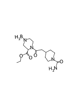 BN1CCN(C(=O)CC2CCN(C(N)=O)CC2)[C@@H](C(=O)OCC)C1